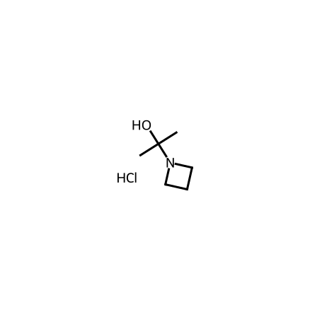 CC(C)(O)N1CCC1.Cl